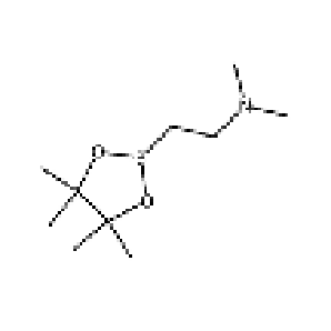 CN(C)CCB1OC(C)(C)C(C)(C)O1